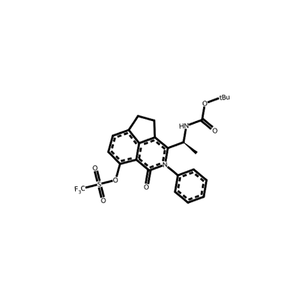 C[C@H](NC(=O)OC(C)(C)C)c1c2c3c(ccc(OS(=O)(=O)C(F)(F)F)c3c(=O)n1-c1ccccc1)CC2